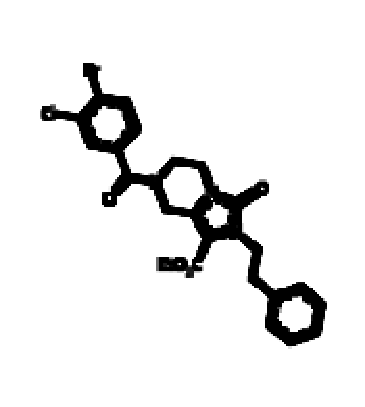 CCOC(=O)c1c2n(c(=O)n1CCc1ccccc1)CCN(C(=O)c1ccc(Br)c(Cl)c1)C2